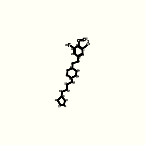 Fc1cc(CCC2CCC(CCCCC3CCCC3)CC2)cc(F)c1OC(F)(F)F